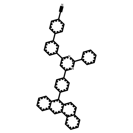 N#Cc1ccc(-c2cccc(-c3cc(-c4ccc(-c5c6ccccc6cc6c5ccc5ccccc56)cc4)nc(-c4ccccc4)n3)c2)cc1